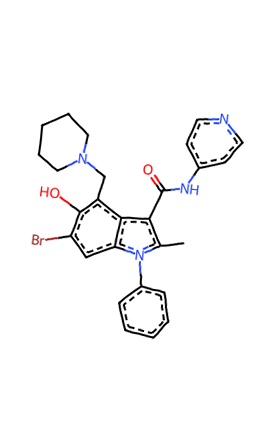 Cc1c(C(=O)Nc2ccncc2)c2c(CN3CCCCC3)c(O)c(Br)cc2n1-c1ccccc1